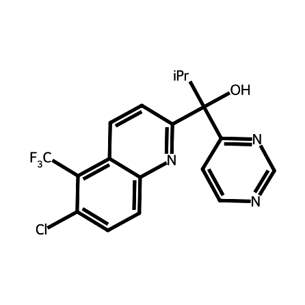 CC(C)C(O)(c1ccncn1)c1ccc2c(C(F)(F)F)c(Cl)ccc2n1